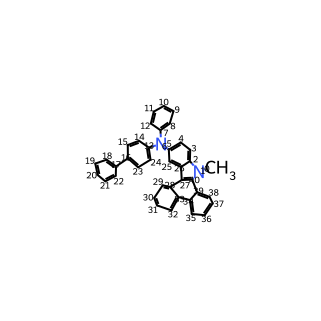 Cn1c2ccc(N(c3ccccc3)c3ccc(-c4ccccc4)cc3)cc2c2c3ccccc3c3ccccc3c21